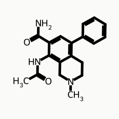 CC(=O)Nc1c(C(N)=O)cc(-c2ccccc2)c2c1CN(C)CC2